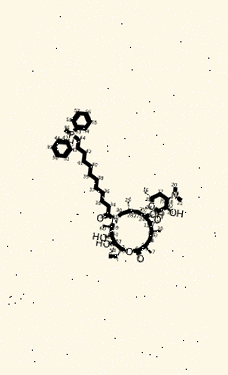 CC[C@H]1OC(=O)[C@H](C)C[C@H](C)[C@@H](O[C@@H]2O[C@H](C)C[C@H](N(C)C)[C@H]2O)[C@](C)(O)C[C@@H](C)CN(C(=O)CCCCCCCCCCC[PH](C)(c2ccccc2)c2ccccc2)[C@H](C)[C@@H](O)[C@]1(C)O